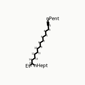 [CH2]CCCCC#CCCCCCCCCCCCCC(CC)CCCCCC[CH2]